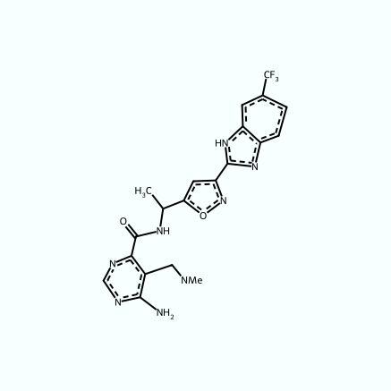 CNCc1c(N)ncnc1C(=O)NC(C)c1cc(-c2nc3ccc(C(F)(F)F)cc3[nH]2)no1